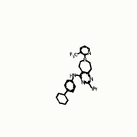 CC(C)c1nc2c(c(Nc3ccc(C4CCCCC4)cc3)n1)CCN(c1ncccc1C(F)(F)F)CC2